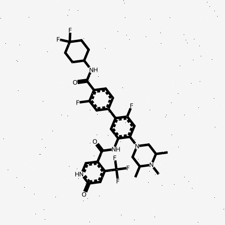 CC1CN(c2cc(F)c(-c3ccc(C(=O)NC4CCC(F)(F)CC4)c(F)c3)cc2NC(=O)c2c[nH]c(=O)cc2C(F)(F)F)CC(C)N1C